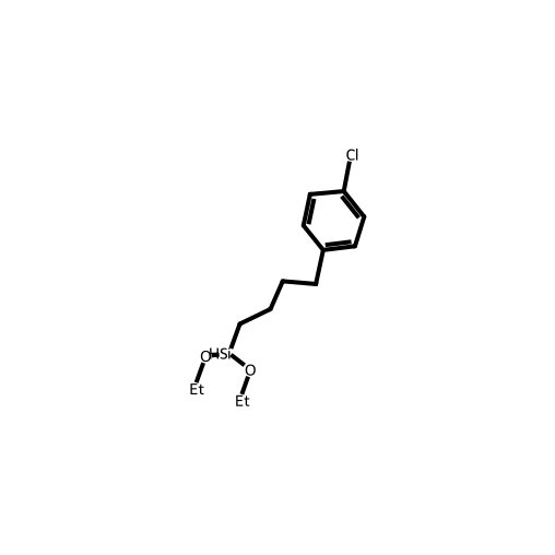 CCO[SiH](CCCCc1ccc(Cl)cc1)OCC